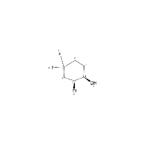 CC[C@H]1CC(F)(F)CC[C@H]1O